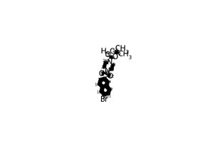 CC(C)(C)OC(=O)N1CCN(S(=O)(=O)c2ccc3cc(Br)ccc3c2)CC1